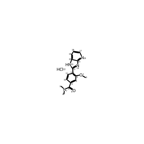 COc1cc(C(=O)N(C)C)ccc1-c1nc2ncccc2[nH]1.Cl